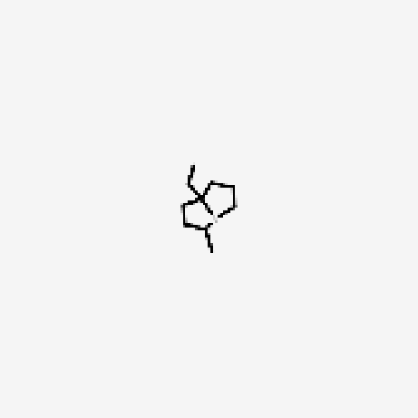 CCC12CCCN1C(C)CC2